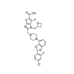 C[C@@]1(c2ccc(Cl)cc2F)Oc2cccc(N3CCN(Cc4nc5sc(C(=O)O)c(F)c5n4C[C@@H]4CCO4)CC3)c2O1